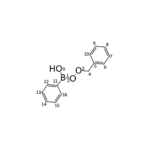 OB(OOCc1ccccc1)c1ccccc1